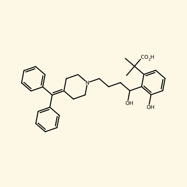 CC(C)(C(=O)O)c1cccc(O)c1C(O)CCCN1CCC(=C(c2ccccc2)c2ccccc2)CC1